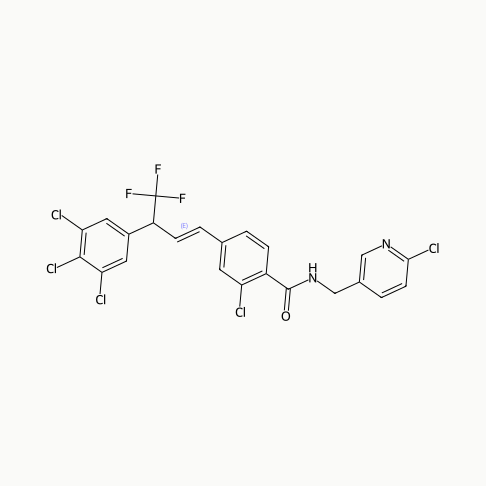 O=C(NCc1ccc(Cl)nc1)c1ccc(/C=C/C(c2cc(Cl)c(Cl)c(Cl)c2)C(F)(F)F)cc1Cl